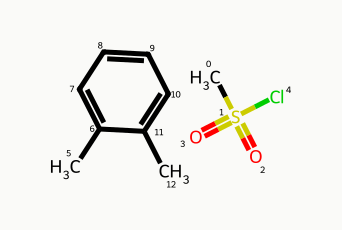 CS(=O)(=O)Cl.Cc1ccccc1C